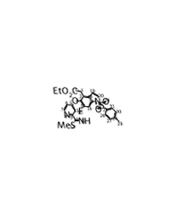 CCOC(=O)Cc1c(Oc2ccnc(C(=N)SC)c2)c(F)cc2c1ccn2S(=O)(=O)c1ccc(C)cc1